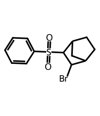 O=S(=O)(c1ccccc1)C1C2CCC(C2)C1Br